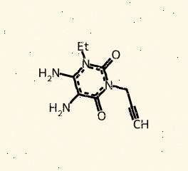 C#CCn1c(=O)c(N)c(N)n(CC)c1=O